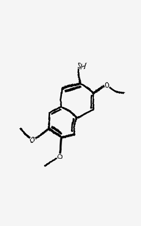 COc1cc2cc(OC)c(OC)cc2cc1S